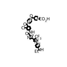 CCNc1ccc(-n2cc(-c3cnc(C(=O)Nc4ccc(C(=O)N5CCN(C(=O)C6CCN(C(=O)O)CC6)CC5)c(Cl)c4)n3C)c(C(F)(F)F)n2)nc1